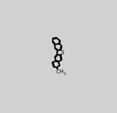 CC1C=Cc2cc3c(cc2C1)sc1cc2ccccc2cc13